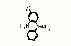 Cc1ccc(N(N)c2ccccc2)c(N)c1